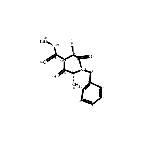 CC[C@H]1C(=O)N(Cc2ccccc2)[C@H](C)C(=O)N1C(=O)OC(C)(C)C